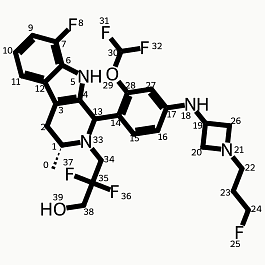 C[C@@H]1Cc2c([nH]c3c(F)cccc23)C(c2ccc(NC3CN(CCCF)C3)cc2OC(F)F)N1CC(F)(F)CO